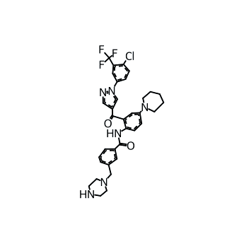 O=C(Nc1ccc(N2CCCCC2)cc1C(=O)c1cnn(-c2ccc(Cl)c(C(F)(F)F)c2)c1)c1cccc(CN2CCNCC2)c1